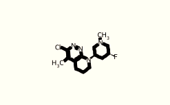 Cc1c(Cl)nnc2c1CCCN2[C@@H]1C[C@@H](F)CN(C)C1